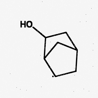 OC1CC2C[CH]C1C2